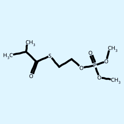 COP(=O)(OC)OCCSC(=O)C(C)C